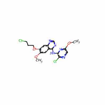 COc1cnc(Cl)c(Nc2ncnc3cc(OCCCCl)c(OC)cc23)n1